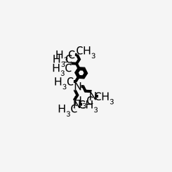 CC(C)CC(c1cccc(C(C)N(CCCN(C)C)CCCN(C)C)c1)C(C)C